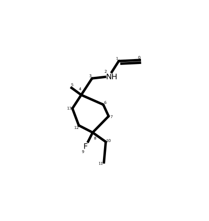 C=CNCC1(C)CCC(F)(CC)CC1